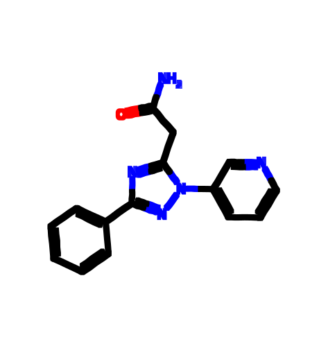 NC(=O)Cc1nc(-c2ccccc2)nn1-c1cccnc1